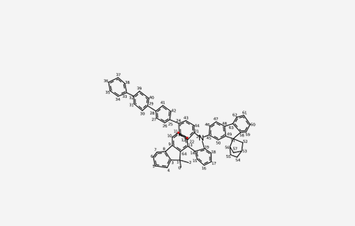 CC1(C)c2ccccc2-c2cccc(-c3ccccc3N(c3ccc(-c4ccc(-c5ccc(-c6ccccc6)cc5)cc4)cc3)c3ccc4c(c3)C3(CC5CCC3C5)c3ccccc3-4)c21